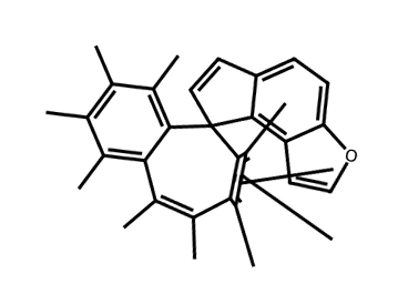 CC1=C(C)c2c(C)c(C)c(C)c(C)c2C2(C=Cc3ccc4occc4c32)c2c(C)c(C)c(C)c(C)c21